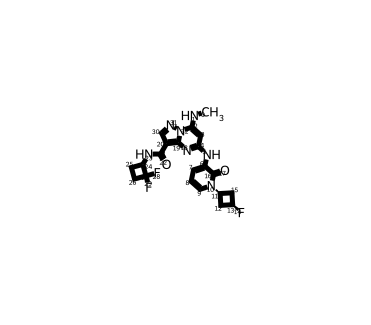 CNc1cc(Nc2cccn([C@H]3C[C@H](F)C3)c2=O)nc2c(C(=O)NC3CCC3(F)F)cnn12